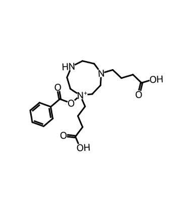 O=C(O)CCCN1CCNCC[N+](CCCC(=O)O)(OC(=O)c2ccccc2)CC1